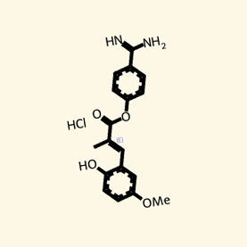 COc1ccc(O)c(/C=C(\C)C(=O)Oc2ccc(C(=N)N)cc2)c1.Cl